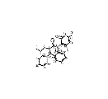 CCCC(C(=O)Nc1c(C)cc(C)cc1C)C(c1ccccc1)c1ccccc1